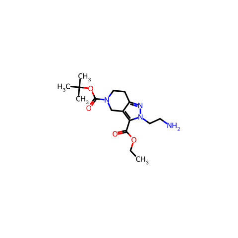 CCOC(=O)c1c2c(nn1CCN)CCN(C(=O)OC(C)(C)C)C2